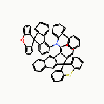 c1ccc(-c2ccccc2N(c2cccc3c2-c2ccccc2C32c3ccccc3Oc3ccccc32)c2cccc3c2-c2cc4ccccc4cc2C32c3ccccc3Sc3ccccc32)cc1